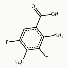 Cc1c(F)cc(C(=O)O)c(N)c1F